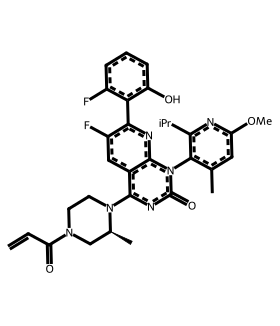 C=CC(=O)N1CCN(c2nc(=O)n(-c3c(C)cc(OC)nc3C(C)C)c3nc(-c4c(O)cccc4F)c(F)cc23)[C@@H](C)C1